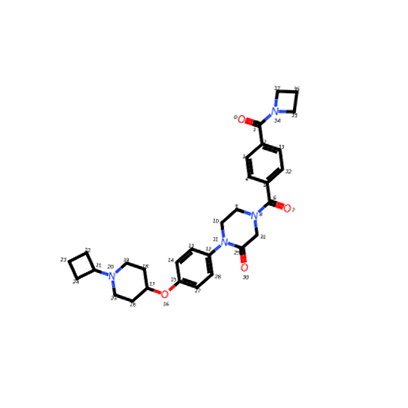 O=C(c1ccc(C(=O)N2CCN(c3ccc(OC4CCN(C5CCC5)CC4)cc3)C(=O)C2)cc1)N1CCC1